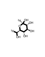 [2H]C(O)[C@H]1O[C@@]([2H])(O)[C@H](O)[C@@H](O)[C@@H]1O